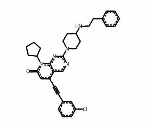 O=c1cc(C#Cc2cccc(Cl)c2)c2cnc(N3CCC(NCCc4ccccc4)CC3)nc2n1C1CCCC1